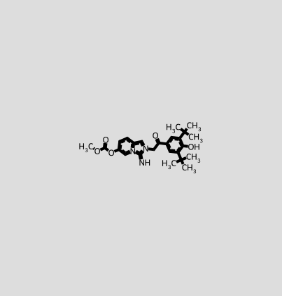 COC(=O)Oc1ccc2cn(CC(=O)c3cc(C(C)(C)C)c(O)c(C(C)(C)C)c3)c(=N)n2c1